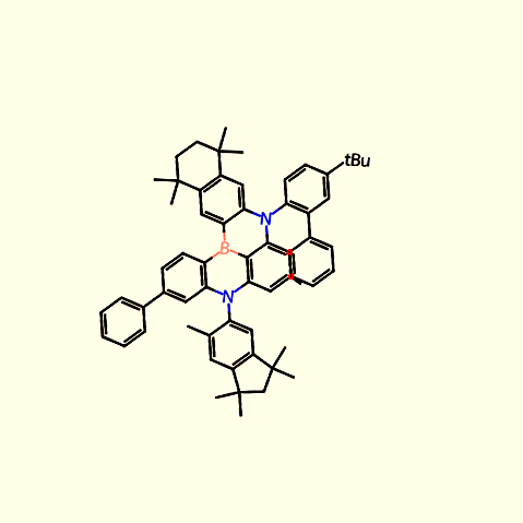 Cc1cc2c3c(c1)N(c1ccc(C(C)(C)C)cc1-c1ccccc1)c1cc4c(cc1B3c1ccc(-c3ccccc3)cc1N2c1cc2c(cc1C)C(C)(C)CC2(C)C)C(C)(C)CCC4(C)C